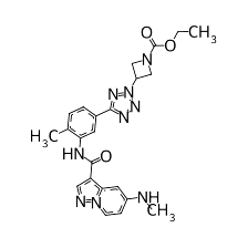 CCOC(=O)N1CC(n2nnc(-c3ccc(C)c(NC(=O)c4cnn5ccc(NC)cc45)c3)n2)C1